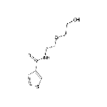 O=C(NCCOCCO)c1ccsc1